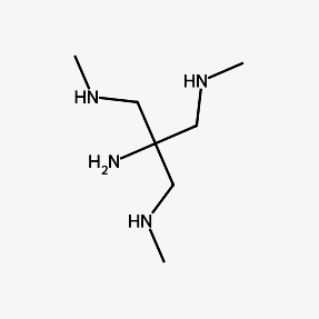 CNCC(N)(CNC)CNC